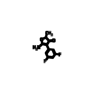 CC1OC(N)=C(c2cc(F)cc(F)c2)C1=O